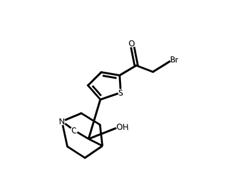 O=C(CBr)c1ccc(C2(O)CN3CCC2CC3)s1